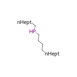 CCCCCCCCCCCPCCCCCCCC